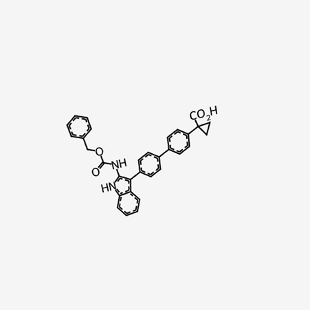 O=C(Nc1[nH]c2ccccc2c1-c1ccc(-c2ccc(C3(C(=O)O)CC3)cc2)cc1)OCc1ccccc1